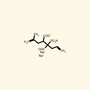 C=CCC(C(=O)[O-])(C(CC(=C)C)C(=O)[O-])S(=O)(=O)O.[Na+].[Na+]